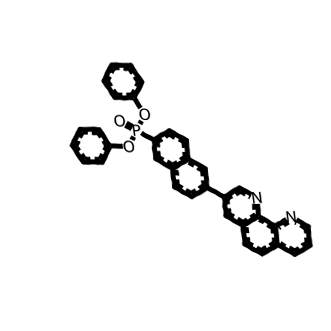 O=P(Oc1ccccc1)(Oc1ccccc1)c1ccc2cc(-c3cnc4c(ccc5cccnc54)c3)ccc2c1